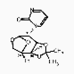 CC[C@@]12COC(O1)[C@H](n1cccnc1=O)C1OC(C)(C)O[C@H]12